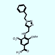 COc1cc(C(N)=O)cc([N+](=O)[O-])c1NCc1cn(CCc2ccccc2)nn1